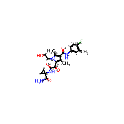 Cc1cc(NC(=O)c2c(C)c(C(=O)C(=O)NC3(C(N)=O)CC3)n(CCO)c2C)ccc1F